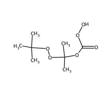 CC(C)(C)OOC(C)(C)OC(=O)OO